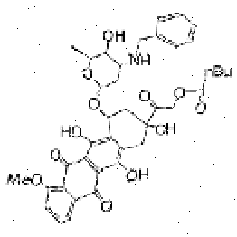 CCCCC(=O)OCC(=O)[C@]1(O)Cc2c(O)c3c(c(O)c2[C@@H](O[C@H]2C[C@@H](NCc4ccccc4)[C@H](O)[C@H](C)O2)C1)C(=O)c1c(OC)cccc1C3=O